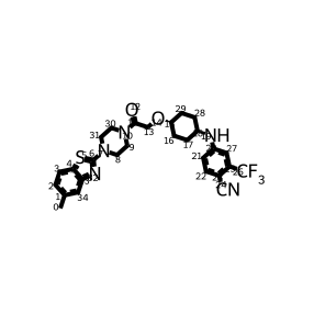 Cc1ccc2sc(N3CCN(C(=O)CO[C@H]4CC[C@H](Nc5ccc(C#N)c(C(F)(F)F)c5)CC4)CC3)nc2c1